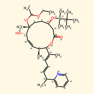 CCOC(C)O[C@]1(C)CC[C@@H](O[Si](C)(C)C(C)(C)C)CC(=O)OC(C(C)=CC=CC(C)c2ccccn2)[C@@H](C)C=C[C@@H]1O